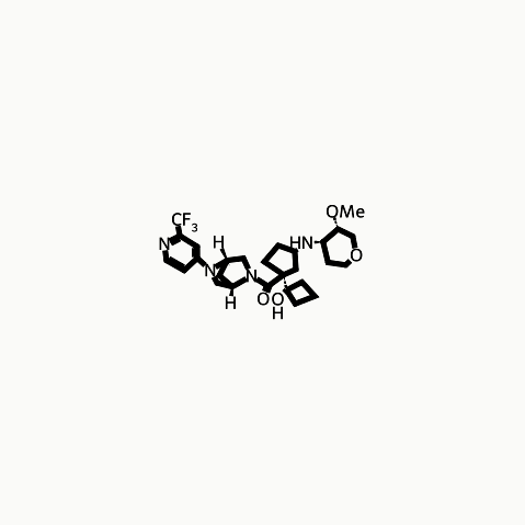 CO[C@@H]1COCC[C@@H]1N[C@@H]1CC[C@@](C(=O)N2C[C@@H]3C[C@H]2CN3c2ccnc(C(F)(F)F)c2)(C2(O)CCC2)C1